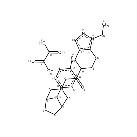 O=C(CN1CC2CCC(C1)N2c1ncc(F)cn1)C1CCc2c(cnn2CC(F)(F)F)C1.O=C(O)C(=O)O